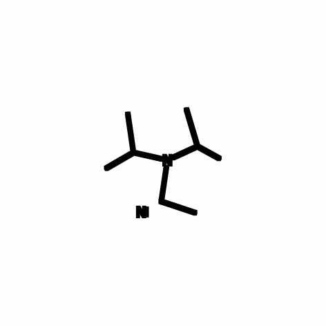 CCN(C(C)C)C(C)C.[N]